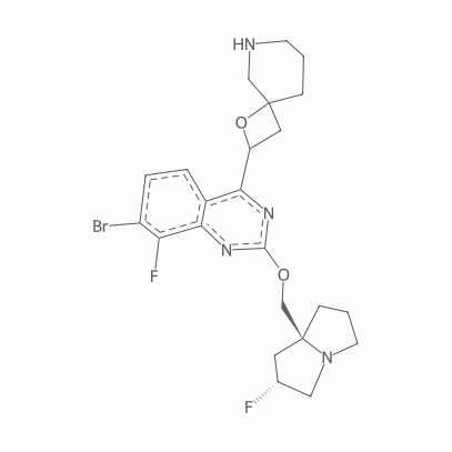 Fc1c(Br)ccc2c(C3CC4(CCCNC4)O3)nc(OC[C@@]34CCCN3C[C@H](F)C4)nc12